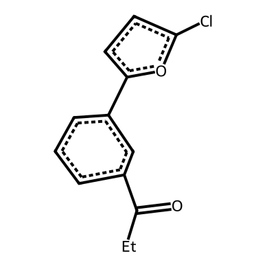 CCC(=O)c1cccc(-c2ccc(Cl)o2)c1